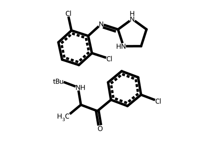 CC(NC(C)(C)C)C(=O)c1cccc(Cl)c1.Clc1cccc(Cl)c1N=C1NCCN1